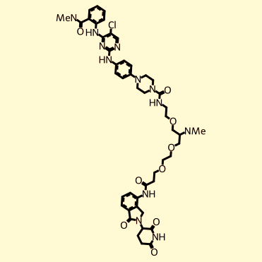 CNC(=O)c1ccccc1Nc1nc(Nc2ccc(N3CCN(C(=O)NCCOCC(COCCOCCC(=O)Nc4cccc5c4CN(C4CCC(=O)NC4=O)C5=O)NC)CC3)cc2)ncc1Cl